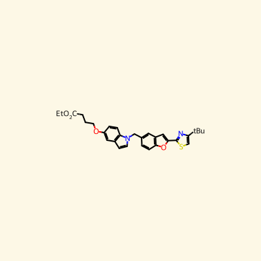 CCOC(=O)CCCOc1ccc2c(ccn2Cc2ccc3oc(-c4nc(C(C)(C)C)cs4)cc3c2)c1